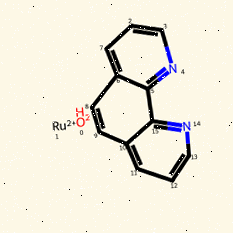 O.[Ru+2].c1cnc2c(c1)ccc1cccnc12